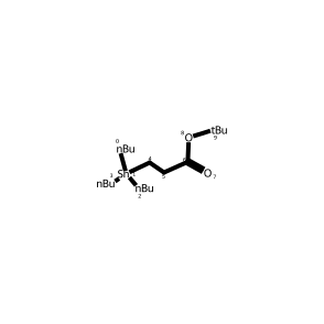 CCC[CH2][Sn]([CH2]CCC)([CH2]CCC)[CH2]CC(=O)OC(C)(C)C